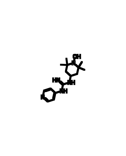 CC1(C)CC(NC(=N)Nc2ccncc2)CC(C)(C)N1O